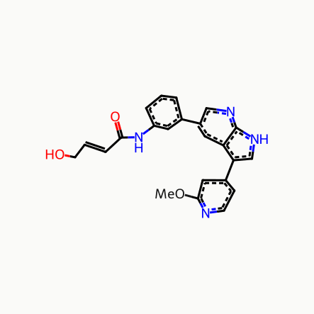 COc1cc(-c2c[nH]c3ncc(-c4cccc(NC(=O)/C=C/CO)c4)cc23)ccn1